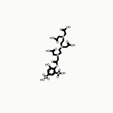 O=C(O)CN(CCN(CC(=O)O)CC(=O)O)CCN(CC(=O)O)CC(=O)Oc1c(O)cc(S(=O)(=O)O)cc1S(=O)(=O)O